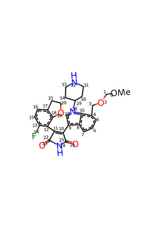 COCOCc1cccc2c(C3=C(c4c(F)ccc5c4OCC5)C(=O)NC3=O)cn(C3CCNCC3)c12